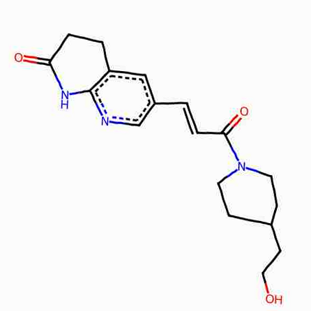 O=C1CCc2cc(C=CC(=O)N3CCC(CCO)CC3)cnc2N1